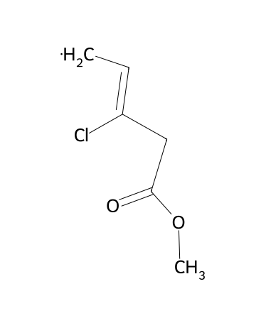 [CH2]C=C(Cl)CC(=O)OC